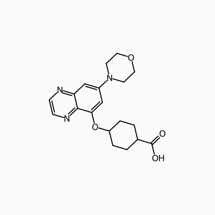 O=C(O)C1CCC(Oc2cc(N3CCOCC3)cc3nccnc23)CC1